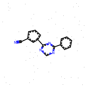 N#Cc1cccc(-c2ncnc(-c3ccccc3)n2)c1